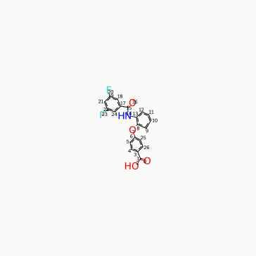 O=C(O)c1ccc(Oc2ccccc2NC(=O)c2cc(F)cc(F)c2)cc1